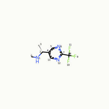 CN[C@H](C)c1cnc(C(F)(F)F)nc1